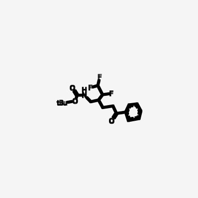 CC(C)(C)OC(=O)NCC(CCC(=O)c1ccccc1)C(F)C(F)F